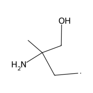 [CH2]CC(C)(N)CO